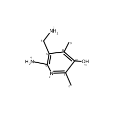 Cc1nc(N)c(CN)c(C)c1O